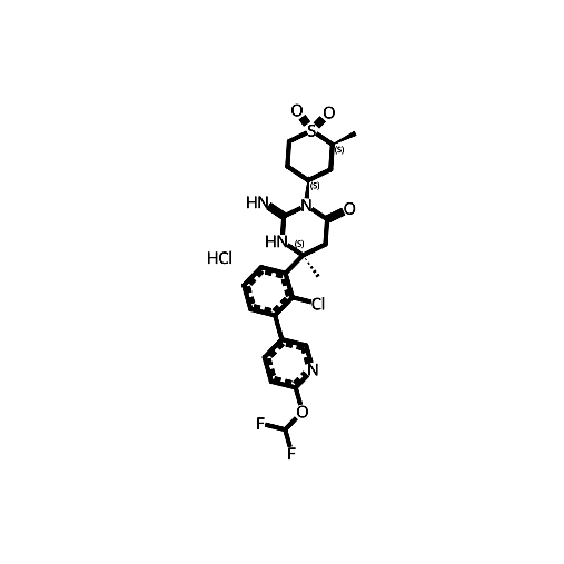 C[C@H]1C[C@@H](N2C(=N)N[C@](C)(c3cccc(-c4ccc(OC(F)F)nc4)c3Cl)CC2=O)CCS1(=O)=O.Cl